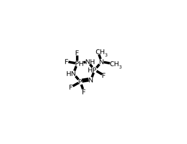 CN(C)[PH]1(F)N=P(F)(F)N[PH](F)(F)N1